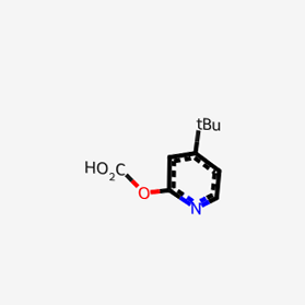 CC(C)(C)c1ccnc(OC(=O)O)c1